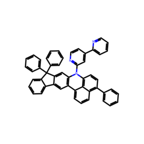 c1ccc(-c2ccc3c4c(cccc24)-c2cc4c(cc2N3c2cc(-c3ccccn3)ccn2)C(c2ccccc2)(c2ccccc2)c2ccccc2-4)cc1